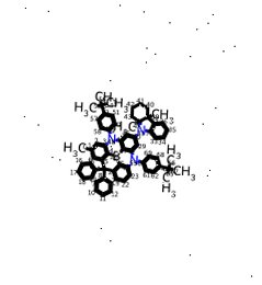 Cc1cc2c3c(c1)C(c1ccccc1)(c1ccccc1)c1cccc4c1B3c1c(cc(N3c5ccccc5C5(C)CCCCC35C)cc1N2c1ccc(C(C)(C)C)cc1)N4c1ccc(C(C)(C)C)cc1